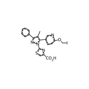 Cc1c(-c2ccccc2)nn(-c2nc(C(=O)O)cs2)c1-c1ccc(OCI)nc1